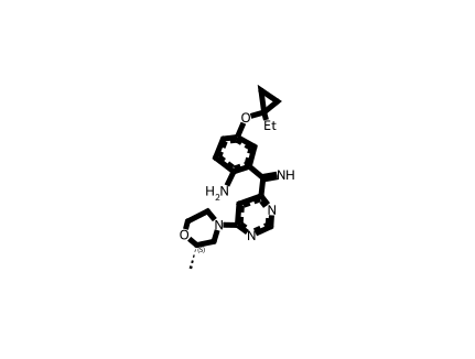 CCC1(Oc2ccc(N)c(C(=N)c3cc(N4CCO[C@@H](C)C4)ncn3)c2)CC1